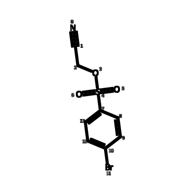 N#CCOS(=O)(=O)c1ccc(Br)cc1